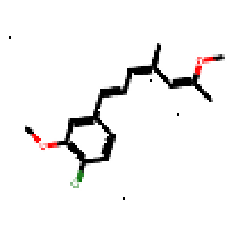 COC(C)=CC(C)=CC=Cc1ccc(Cl)c(OC)c1